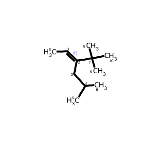 C/C=C(\CC(C)C)C(C)(C)C